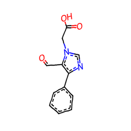 O=Cc1c(-c2ccccc2)ncn1CC(=O)O